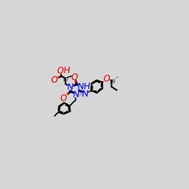 CC[C@@H](C)Oc1ccc(/N=c2\[nH]c(=O)n(C[C@H](C)C(=O)O)c(=O)n2Cc2ccc(C)cc2)cc1